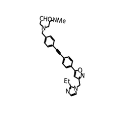 CCc1nccn1Cc1cc(-c2ccc(C#Cc3ccc(CN(CC=O)CCNC)cc3)cc2)on1